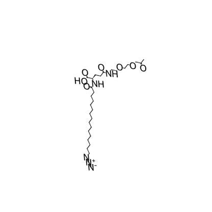 CC(=O)COCCOCCNC(=O)CC[C@@H](NC(=O)CCCCCCCCCCCCCCCN=[N+]=[N-])C(=O)O